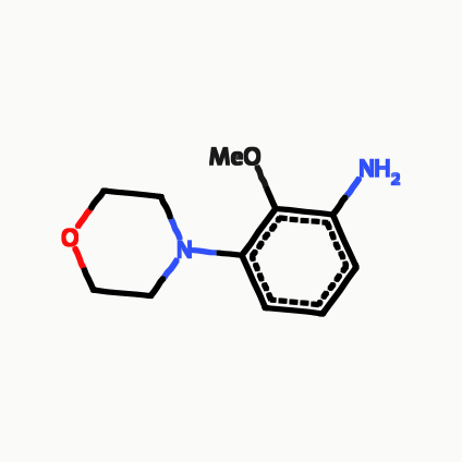 COc1c(N)cccc1N1CCOCC1